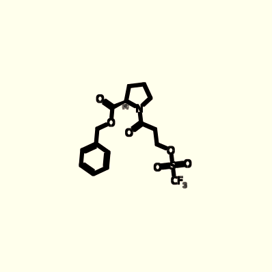 O=C(OCc1ccccc1)[C@H]1CCCN1C(=O)CCOS(=O)(=O)C(F)(F)F